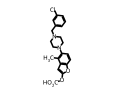 Cc1c(N2CCN(Cc3cccc(Cl)c3)CC2)ccc2oc(OC(=O)O)cc12